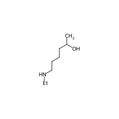 CCNCCCCC(C)O